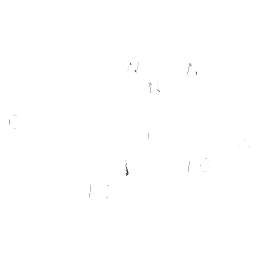 CC[C@H](Oc1ccnn1-c1cc(C(=O)O)ccn1)c1ccc(Cl)cc1